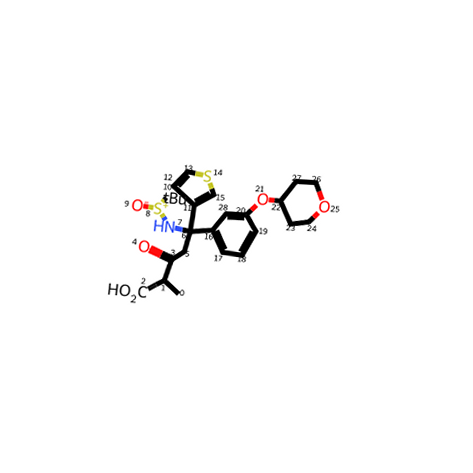 CC(C(=O)O)C(=O)CC(N[S+]([O-])C(C)(C)C)(c1ccsc1)c1cccc(OC2CCOCC2)c1